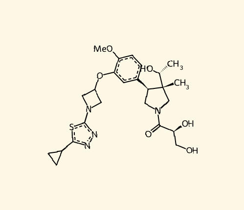 COc1ccc([C@@H]2CN(C(=O)[C@@H](O)CO)C[C@@]2(C)[C@@H](C)O)cc1OC1CN(c2nnc(C3CC3)s2)C1